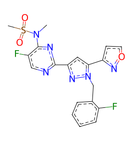 CN(c1nc(-c2cc(-c3ccon3)n(Cc3ccccc3F)n2)ncc1F)S(C)(=O)=O